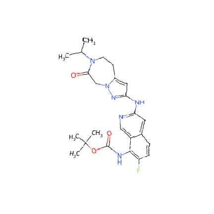 CC(C)N1CCc2cc(Nc3cc4ccc(F)c(NC(=O)OC(C)(C)C)c4cn3)nn2CC1=O